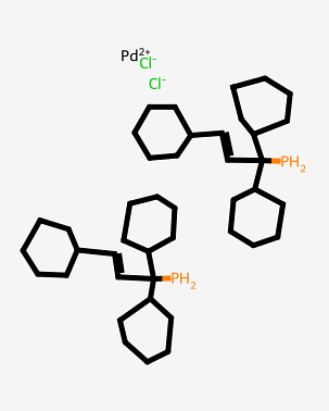 PC(C=CC1CCCCC1)(C1CCCCC1)C1CCCCC1.PC(C=CC1CCCCC1)(C1CCCCC1)C1CCCCC1.[Cl-].[Cl-].[Pd+2]